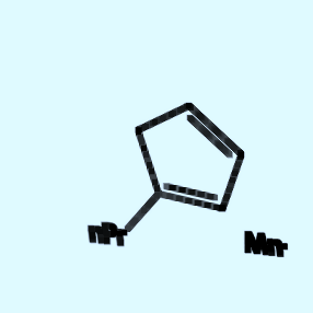 CCCC1=CC=CC1.[Mn]